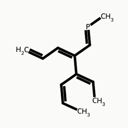 C=C/C=C(/C=P/C)C(\C=C/C)=C\C